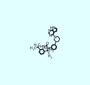 CC(C)c1cccc(C(C)C)c1NC(=O)Nc1cccc(C2CCCN(c3ncnc4[nH]ccc34)C2)c1